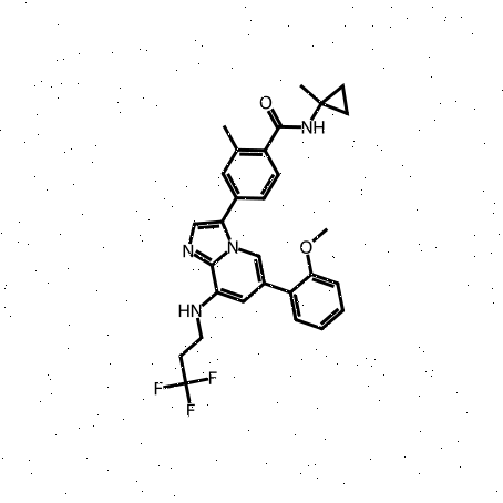 COc1ccccc1-c1cc(NCCC(F)(F)F)c2ncc(-c3ccc(C(=O)NC4(C)CC4)c(C)c3)n2c1